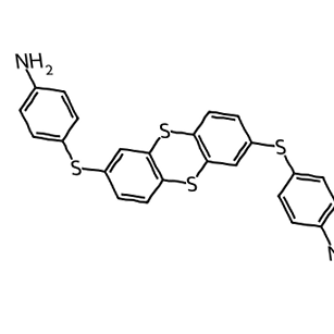 Nc1ccc(Sc2ccc3c(c2)Sc2ccc(Sc4ccc(N)cc4)cc2S3)cc1